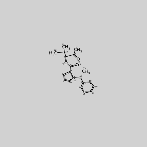 CC(=O)[C@@H](OC(=O)c1cccn1[C@H](C)c1ccccc1)C(C)C